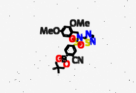 COc1ccc(CN(c2ncns2)S(=O)(=O)c2ccc(B3OCC(C)(C)CO3)c(C#N)c2)c(OC)c1